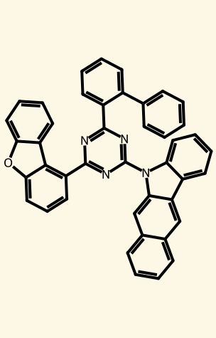 c1ccc(-c2ccccc2-c2nc(-c3cccc4oc5ccccc5c34)nc(-n3c4ccccc4c4cc5ccccc5cc43)n2)cc1